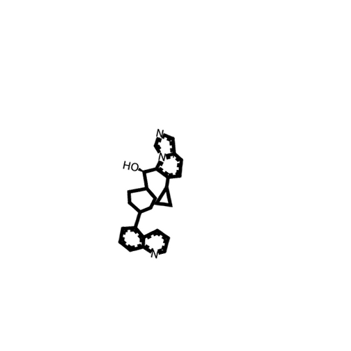 O[C@@H](c1c(C2CC2)ccc2cncn12)C1CCC(c2cccc3ncccc23)CC1